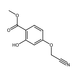 COC(=O)c1ccc(OCC#N)cc1O